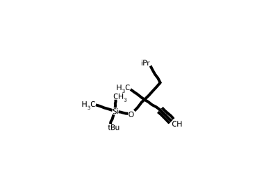 C#CC(C)(CC(C)C)O[Si](C)(C)C(C)(C)C